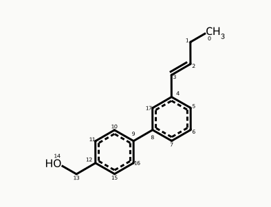 CCC=Cc1cccc(-c2ccc(CO)cc2)c1